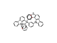 c1ccc(-n2c3ccccc3c3cccc([Si](c4ccccc4)(c4ccccc4)c4cccc(-n5c6ccccc6c6ccc7sc8ccccc8c7c65)c4)c32)cc1